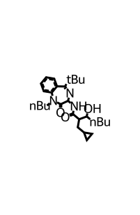 CCCCC(O)C(CC1CC1)C(=O)NC1N=C(C(C)(C)C)c2ccccc2N(CCCC)C1=O